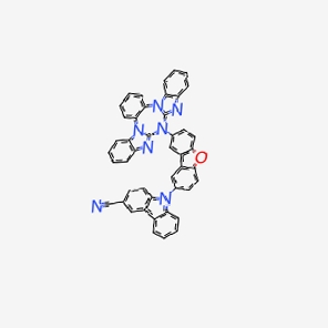 N#Cc1ccc2c(c1)c1ccccc1n2-c1ccc2oc3ccc(-n4c5nc6ccccc6n5c5ccccc5n5c6ccccc6nc45)cc3c2c1